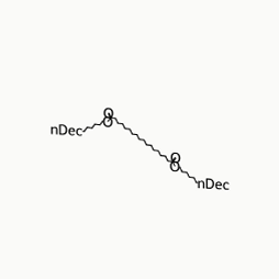 CCCCCCCCCCCCCCCCOC(=O)CCCCCCCCCCCCCCCCC(=O)OCCCCCCCCCCCCCCCC